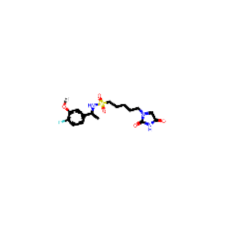 CCOc1cc(C(C)NS(=O)(=O)CCCCCN2CC(=O)NC2=O)ccc1F